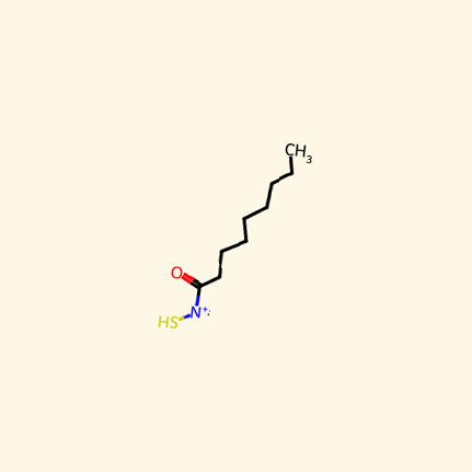 CCCCCCCCC(=O)[N+]S